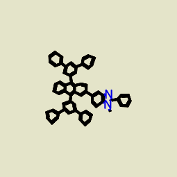 Cn1c(-c2ccccc2)nc2cc(-c3ccc4c(-c5cc(-c6ccccc6)cc(-c6ccccc6)c5)c5ccccc5c(-c5cc(-c6ccccc6)cc(-c6ccccc6)c5)c4c3)ccc21